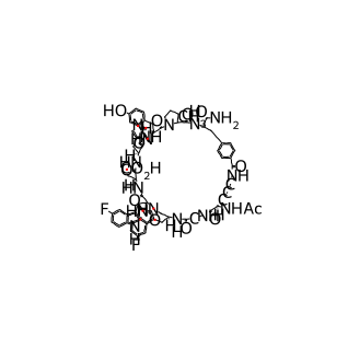 CC(=O)N[C@@H]1CCCNC(=O)c2ccc(cc2)CC(C(N)=O)NC(=O)[C@]2(C)CCCN2C(=O)[C@H](Cc2ccc(O)cc2)NC(=O)[C@H](Cc2cnc[nH]2)NC(=O)[C@H](CC(=O)O)NC(=O)[C@H](Cc2c[nH]c3ccc(F)cc23)NC(=O)[C@H](Cc2c[nH]c3ccc(F)cc23)NC(=O)CNC1=O